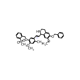 COc1cc2c(cc1OCc1ccccc1)CCNC2/C=C/c1cc(OCc2ccccc2S(C)(=O)=O)c(OC)cc1C